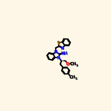 COC[C@H](Cc1ccc(C)cc1)n1c(=N)n(Cc2nc3ccccc3s2)c2ccccc21